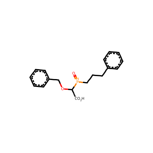 O=C(O)C(OCc1ccccc1)[PH](=O)CCCc1ccccc1